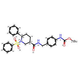 CC(C)(C)OC(=O)Nc1ccc(CNC(=O)[C@@H]2CC[C@H](c3ccccc3)N(S(=O)(=O)c3ccccc3)C2)cc1